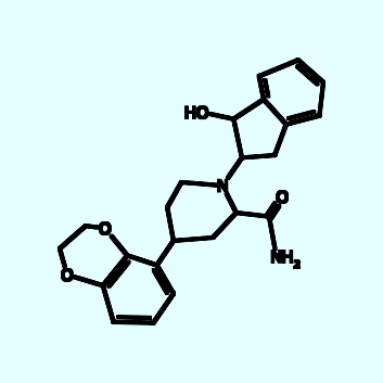 NC(=O)C1CC(c2cccc3c2OCCO3)CCN1C1Cc2ccccc2C1O